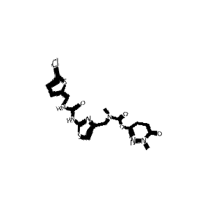 CN(Cc1csc(NC(=O)NCc2ccc(Cl)s2)n1)C(=O)OC1=NN(C)C(=O)CC1